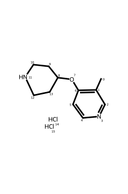 Cc1cnccc1OC1CCNCC1.Cl.Cl